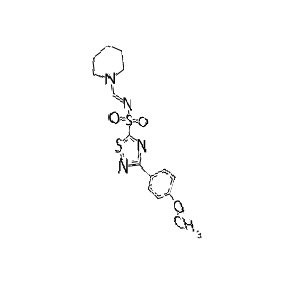 COc1ccc(-c2nsc(S(=O)(=O)N=CN3CCCCC3)n2)cc1